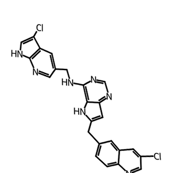 Clc1cnc2ccc(Cc3cc4ncnc(NCc5cnc6[nH]cc(Cl)c6c5)c4[nH]3)cc2c1